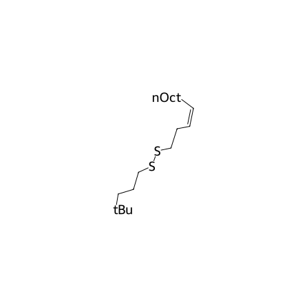 CCCCCCCC/C=C\CCSSCCCC(C)(C)C